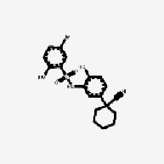 N#CC1(c2ccc(O)c(NS(=O)(=O)c3cc(Br)ccc3O)c2)CCCCC1